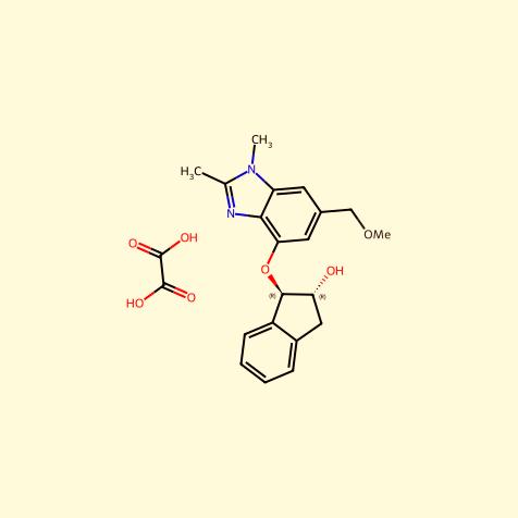 COCc1cc(O[C@@H]2c3ccccc3C[C@H]2O)c2nc(C)n(C)c2c1.O=C(O)C(=O)O